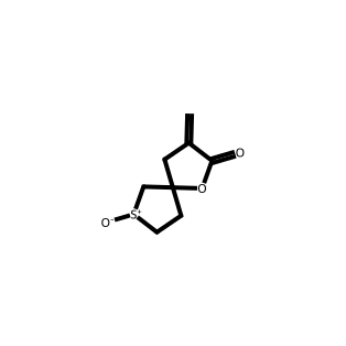 C=C1CC2(CC[S+]([O-])C2)OC1=O